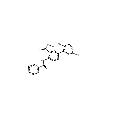 O=C(Nc1ccc(-c2cc(Cl)ccc2Cl)c2c1C(=O)NC2)c1ccccc1